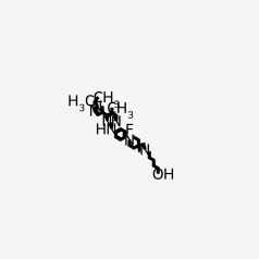 Cc1cnc(Nc2ccc(N3CCC4(CC3)CN(CCCCCO)C4)c(F)c2)nc1-c1cnn(C(C)C)c1